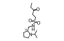 CCC(=O)CCS(=O)(=O)NC[C@@H]1CCCN1C(C)C